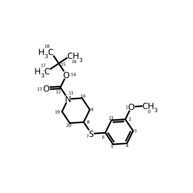 COc1cccc(SC2CCN(C(=O)OC(C)(C)C)CC2)c1